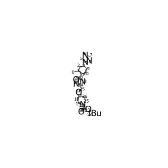 Cc1cc(-n2cncn2)ccc1-c1nc(COC2CCN(C(=O)OC(C)(C)C)CC2)no1